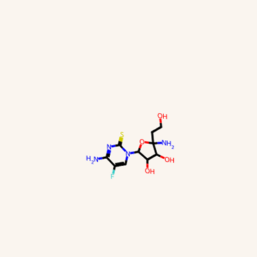 Nc1nc(=S)n(C2OC(N)(CCO)C(O)C2O)cc1F